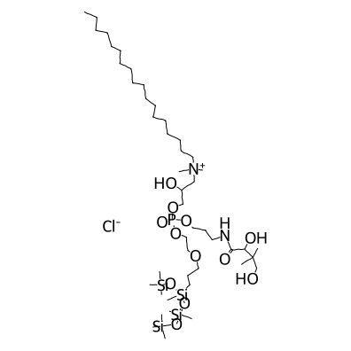 CCCCCCCCCCCCCCCCCC[N+](C)(C)CC(O)COP(=O)(OCCCNC(=O)C(O)C(C)(C)CO)OCCOCCC[Si](C)(O[Si](C)(C)C)O[Si](C)(C)O[Si](C)(C)C.[Cl-]